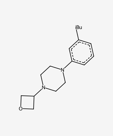 CCC(C)c1cccc(N2CCN(C3COC3)CC2)c1